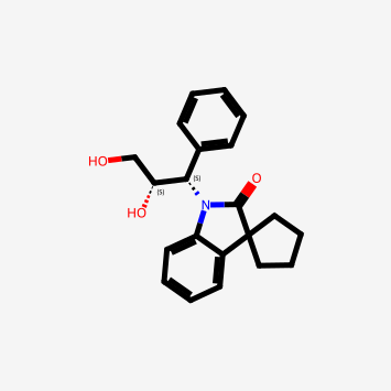 O=C1N([C@@H](c2ccccc2)[C@H](O)CO)c2ccccc2C12CCCC2